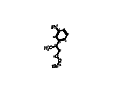 CC(C)c1cccc(C(C)COOC(C)(C)C)c1